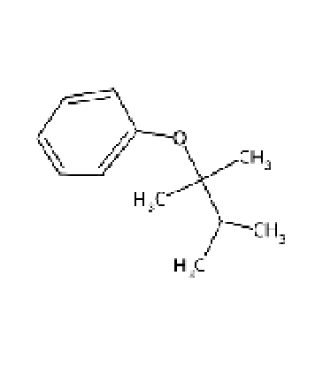 CC(C)C(C)(C)Oc1ccccc1